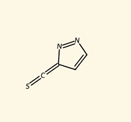 S=C=C1C=CN=N1